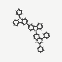 c1ccc(-c2nc(-c3ccccc3)c3cc(-n4c5ccccc5c5cc(-c6ccc7c(c6)c6ccccc6n7-c6ccccc6)ccc54)ccc3n2)cc1